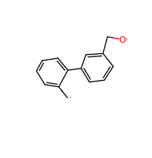 [CH2]c1ccccc1-c1cccc(C[O])c1